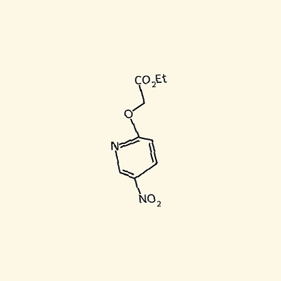 CCOC(=O)COc1ccc([N+](=O)[O-])cn1